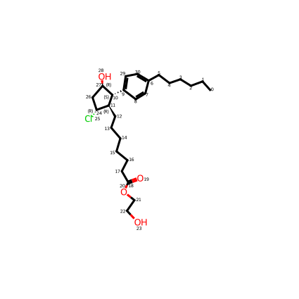 CCCCCCc1ccc([C@@H]2[C@@H](CCCCCCC(=O)OCCO)[C@H](Cl)C[C@H]2O)cc1